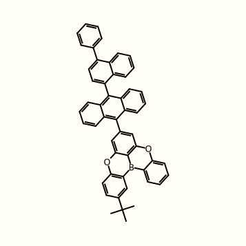 CC(C)(C)c1ccc2c(c1)B1c3ccccc3Oc3cc(-c4c5ccccc5c(-c5ccc(-c6ccccc6)c6ccccc56)c5ccccc45)cc(c31)O2